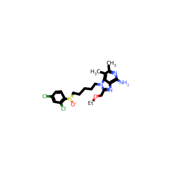 CCOCc1nc2c(N)nc(C)c(C)c2n1CCCCC[S+]([O-])c1ccc(Cl)cc1Cl